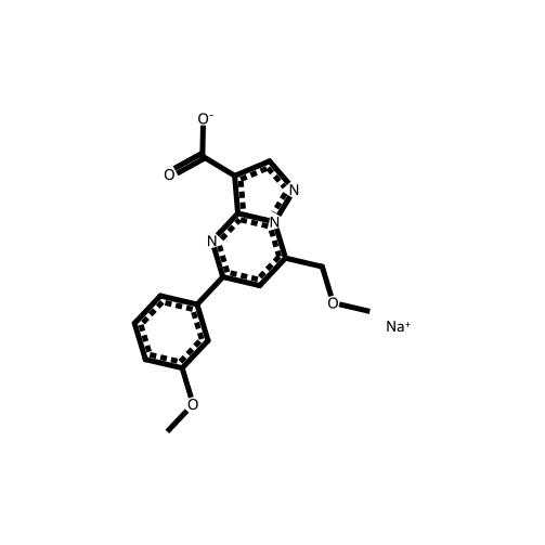 COCc1cc(-c2cccc(OC)c2)nc2c(C(=O)[O-])cnn12.[Na+]